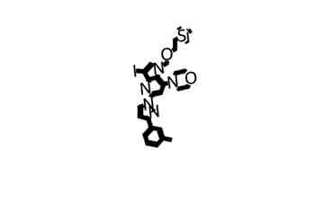 Cc1cccc(-c2ccn(-c3cc(N4CCOCC4)c4c(n3)c(I)cn4COCC[Si](C)(C)C)n2)c1